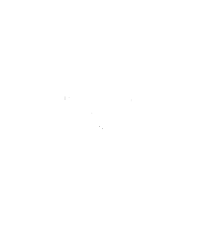 CC(=O)c1cn(CC(C)C)nc1C